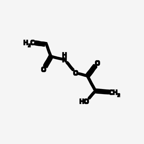 C=CC(=O)NOC(=O)C(=C)O